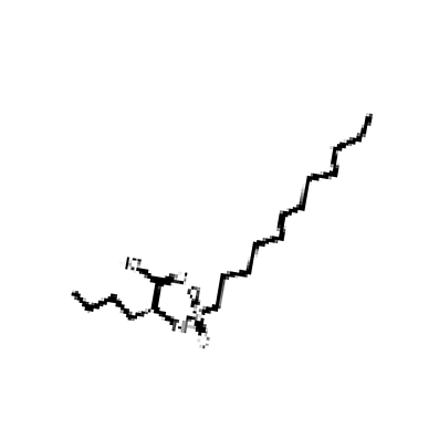 CCCCCCCCCCCCS(=O)(=O)N[C@@H](CCCC)C(=O)O